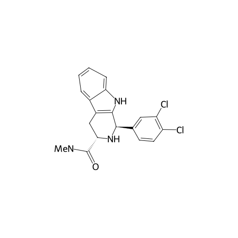 CNC(=O)[C@@H]1Cc2c([nH]c3ccccc23)[C@@H](c2ccc(Cl)c(Cl)c2)N1